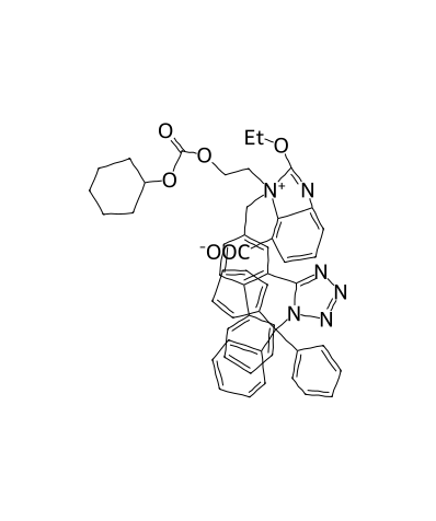 CCOC1=Nc2cccc(C(=O)[O-])c2[N+]1(CCOC(=O)OC1CCCCC1)Cc1ccc(-c2ccccc2)c(-c2nnnn2C(c2ccccc2)(c2ccccc2)c2ccccc2)c1